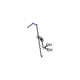 CCCCC/C=C\C/C=C\CCCCCCCCOC(CCCCCCCCCCCCCC(C)C)O[Si](C)(C)OCCCCCCN(CCO)CCO